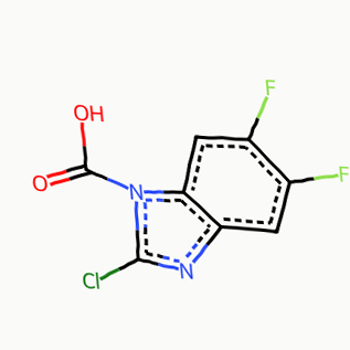 O=C(O)n1c(Cl)nc2cc(F)c(F)cc21